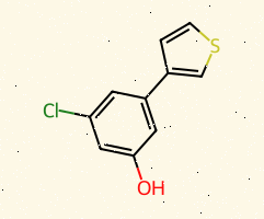 Oc1cc(Cl)cc(-c2ccsc2)c1